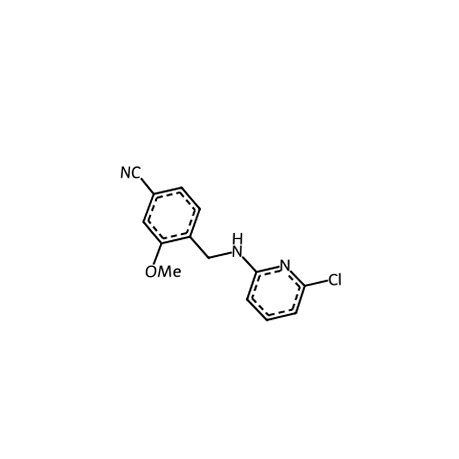 COc1cc(C#N)ccc1CNc1cccc(Cl)n1